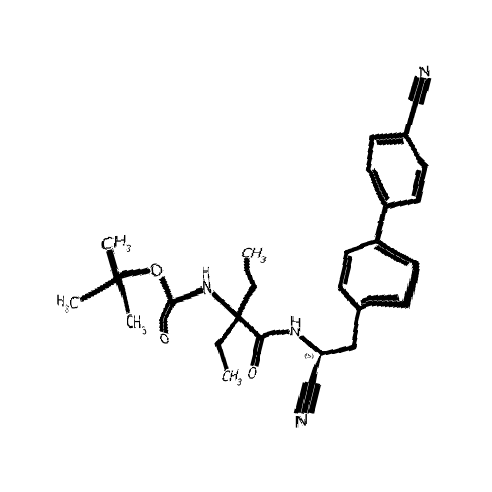 CCC(CC)(NC(=O)OC(C)(C)C)C(=O)N[C@H](C#N)Cc1ccc(-c2ccc(C#N)cc2)cc1